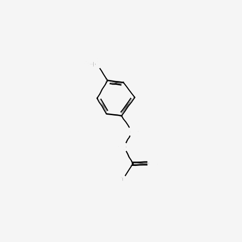 CC(C)C(=O)OOc1ccc(C=O)cc1